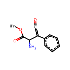 CC(C)OC(=O)C(N)C(=C=O)c1ccccc1